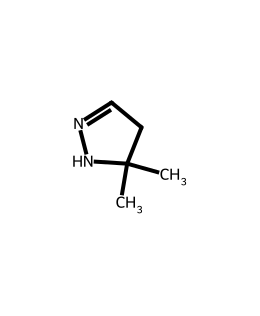 CC1(C)CC=NN1